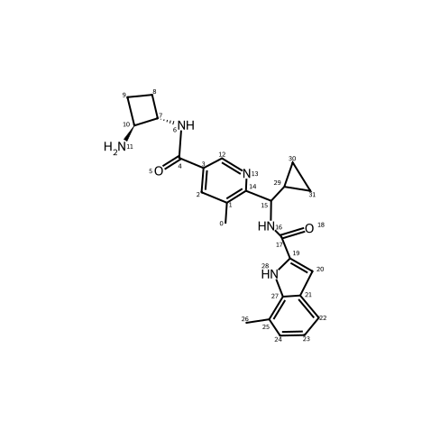 Cc1cc(C(=O)N[C@H]2CC[C@@H]2N)cnc1C(NC(=O)c1cc2cccc(C)c2[nH]1)C1CC1